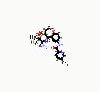 CC1(C)C(N)=N[C@]2(C)c3cc(NC(=O)c4ccc(C(F)(F)F)cn4)ccc3OCC[C@H]2S1(=O)=O